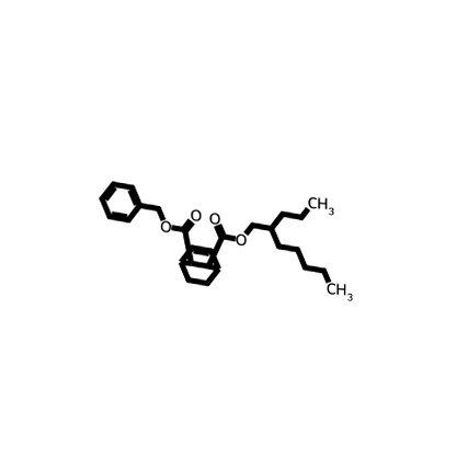 CCCCCC(CCC)COC(=O)C1C2C=CC(CC2)C1C(=O)OCc1ccccc1